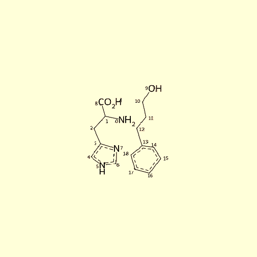 NC(Cc1c[nH]cn1)C(=O)O.OCCCc1ccccc1